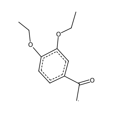 [CH2]C(=O)c1ccc(OCC)c(OCC)c1